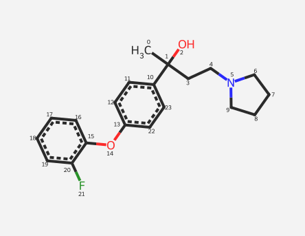 CC(O)(CCN1CCCC1)c1ccc(Oc2ccccc2F)cc1